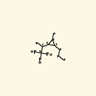 CCCC1C(C)C1C(C)C(F)(F)F